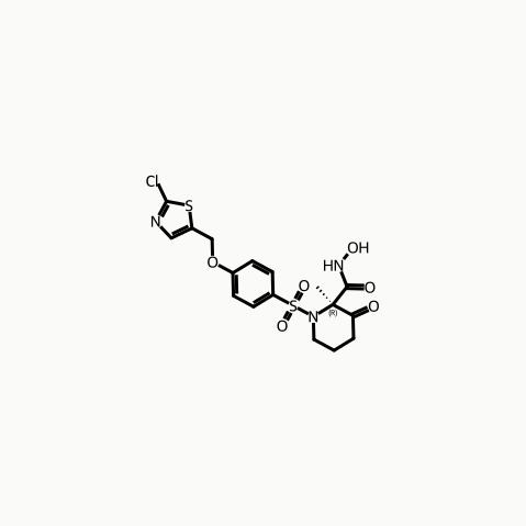 C[C@]1(C(=O)NO)C(=O)CCCN1S(=O)(=O)c1ccc(OCc2cnc(Cl)s2)cc1